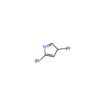 CC(C)C1=CC(C(C)C)C=N1